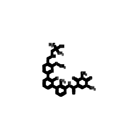 COc1nc(-c2cccc(-c3cccc(NC(=O)c4cn(C)c(=O)n(C)c4=O)c3C)c2Cl)ccc1CNCC(C)(C)O